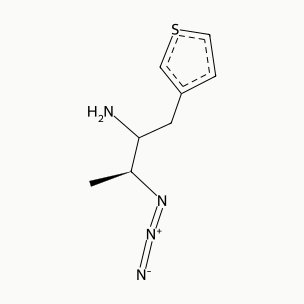 C[C@H](N=[N+]=[N-])C(N)Cc1ccsc1